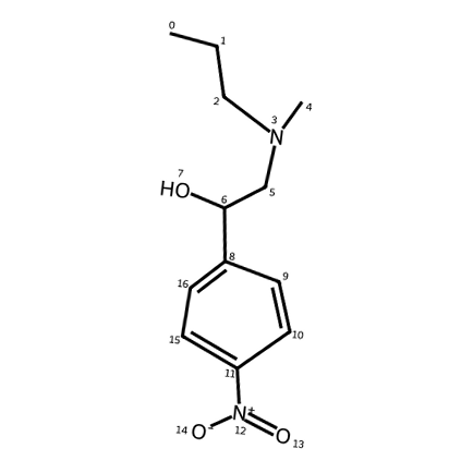 CCCN(C)CC(O)c1ccc([N+](=O)[O-])cc1